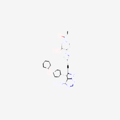 C=CC(=O)N1CC[C@H](N2CC(C#Cc3c(-c4ccc(Oc5ccccc5)cc4)c4c(N)ncnc4n3C)C2)[C@H](O)C1